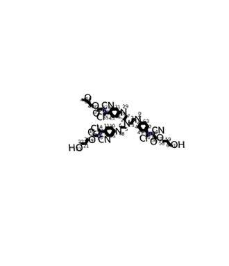 CN(CCN(CCN(C)c1ccc(/C(Cl)=C(\C#N)C(=O)OCCCO)cc1)CCN(C)c1ccc(/C(Cl)=C(\C#N)C(=O)OCC2CO2)cc1)c1ccc(/C(Cl)=C(\C#N)C(=O)OCCCO)cc1